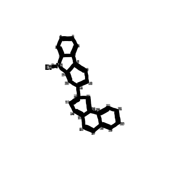 CCn1c2ccccc2c2ccc(-c3ccc4ccc5ccccc5c4c3)cc21